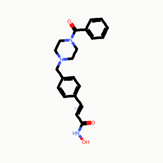 O=C(/C=C/c1ccc(CN2CCN(C(=O)c3ccccc3)CC2)cc1)NO